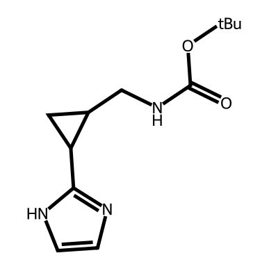 CC(C)(C)OC(=O)NCC1CC1c1ncc[nH]1